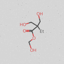 CCC(CO)(CO)C(=O)OCO